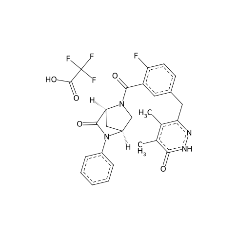 Cc1c(Cc2ccc(F)c(C(=O)N3C[C@@H]4C[C@H]3C(=O)N4c3ccccc3)c2)n[nH]c(=O)c1C.O=C(O)C(F)(F)F